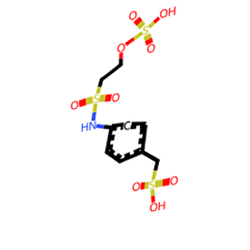 O=S(=O)(O)Cc1ccc(NS(=O)(=O)CCOS(=O)(=O)O)cc1